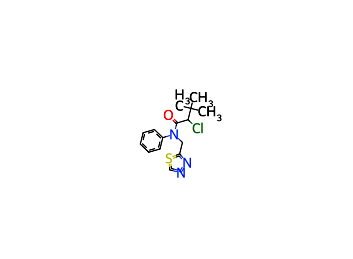 CC(C)(C)C(Cl)C(=O)N(Cc1nncs1)c1ccccc1